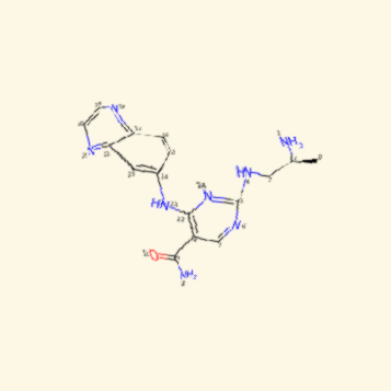 C[C@H](N)CNc1ncc(C(N)=O)c(Nc2ccc3nccnc3c2)n1